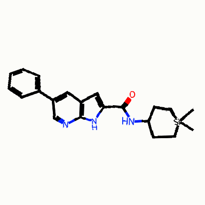 C[Si]1(C)CCC(NC(=O)c2cc3cc(-c4ccccc4)cnc3[nH]2)CC1